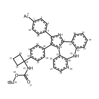 CC(=O)c1ccc(-c2nc3n(c2-c2ccc(C4(NC(=O)OC(C)(C)C)CCC4)cc2)-c2cccnc2Nc2ccccc2-3)cc1